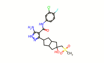 CS(=O)(=O)CC1(O)CC2CC(c3n[nH]c(N)c3C(=O)Nc3ccc(F)c(Cl)c3)CC2C1